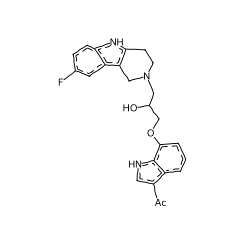 CC(=O)c1c[nH]c2c(OCC(O)CN3CCc4[nH]c5ccc(F)cc5c4C3)cccc12